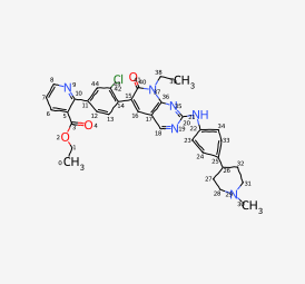 CCOC(=O)c1cccnc1-c1ccc(-c2cc3cnc(Nc4ccc(C5CCN(C)CC5)cc4)nc3n(CC)c2=O)c(Cl)c1